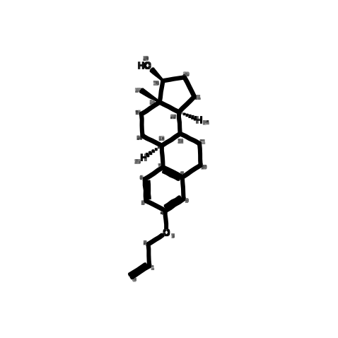 C=CCOc1ccc2c(c1)CCC1[C@@H]2CC[C@]2(C)[C@@H](O)CC[C@@H]12